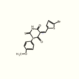 COc1ccc(N2C(=O)/C(=C/c3ccc(Br)s3)C(=O)NC2=S)cc1